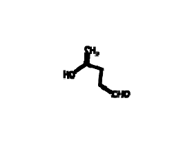 C=C(O)CCC=O